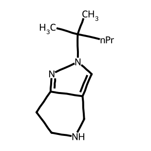 CCCC(C)(C)n1cc2c(n1)CCNC2